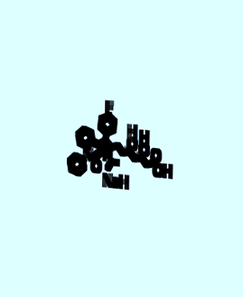 CC(C)n1c(CC[C@@H](O)C[C@@H](O)CC(=O)O)c(-c2ccc(F)cc2)c2c3ccccc3n(-c3ccccc3)c(=O)c21.[NaH]